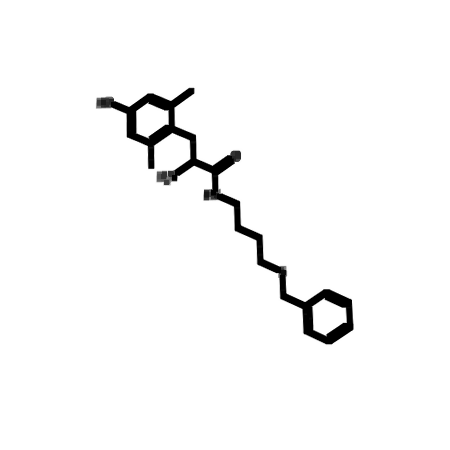 Cc1cc(O)cc(C)c1CC(N)C(=O)NCCCCSCc1ccccc1